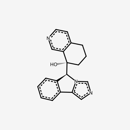 O[C@@]1([C@@H]2c3ccccc3-c3cncn32)CCCc2ccncc21